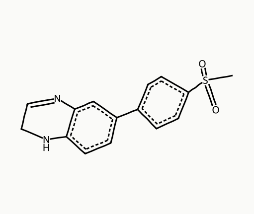 CS(=O)(=O)c1ccc(-c2ccc3c(c2)N=CCN3)cc1